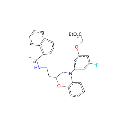 CCOC(=O)COc1cc(F)cc(N2CC(CCN[C@H](C)c3cccc4ccccc34)Oc3ccccc32)c1